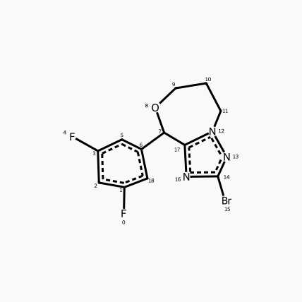 Fc1cc(F)cc(C2OCCCn3nc(Br)nc32)c1